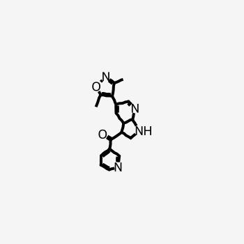 Cc1noc(C)c1C1=CC2C(N=C1)NCC2C(=O)c1cccnc1